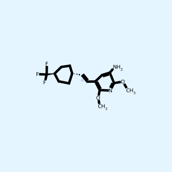 COc1nc(OC)c(/C=C/[C@H]2CC[C@H](C(F)(F)F)CC2)cc1N